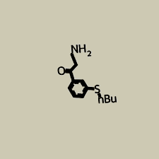 CCCCSc1cccc(C(=O)CCN)c1